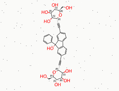 OC[C@H]1O[C@H](C#Cc2ccc3c(c2)C(O)(c2ccccc2)c2cc(C#C[C@H]4O[C@H](CO)[C@@H](O)[C@H](O)[C@@H]4O)ccc2-3)[C@@H](O)[C@@H](O)[C@@H]1O